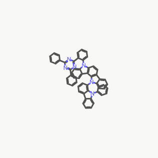 c1ccc(-c2nc(-c3ccccc3)nc(-c3ccccc3-n3c4ccccc4c4c3ccc3c5ccccc5n(-c5cccc6c7ccccc7n(-c7ccccc7)c56)c34)n2)cc1